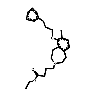 CCOC(=O)CCCN1CCc2ccc(C)c(OCCCc3ccccc3)c2CC1